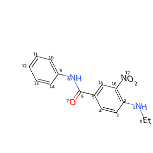 CCNc1ccc(C(=O)Nc2ccccc2)cc1[N+](=O)[O-]